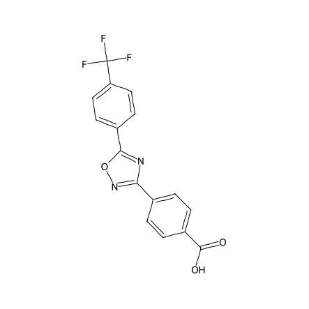 O=C(O)c1ccc(-c2noc(-c3ccc(C(F)(F)F)cc3)n2)cc1